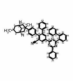 C[C@H]1C[C@@H]2C[C@H](C1)CC(C)(c1ccc(-c3c(C#N)cc(-c4nc(-c5ccccc5)nc(-c5ccccc5-c5ccccc5)n4)cc3-c3ccccc3)cc1)C2